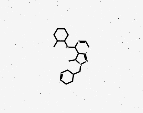 C/C=N\C(NC1CCCCC1C)C1C=NN(CC2CC=CCC2)C1C